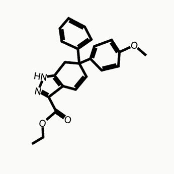 CCOC(=O)c1n[nH]c2c1C=CC(c1ccccc1)(c1ccc(OC)cc1)C2